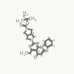 CCc1nc(N2CC3CN(C(=O)OC(C)(C)C)CC3C2)nc2c1c(=O)cc1sc3ccccc3n12